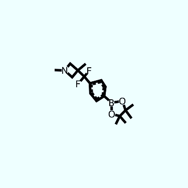 CN1CC(C)(C(F)(F)c2ccc(B3OC(C)(C)C(C)(C)O3)cc2)C1